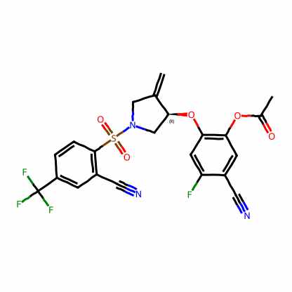 C=C1CN(S(=O)(=O)c2ccc(C(F)(F)F)cc2C#N)C[C@@H]1Oc1cc(F)c(C#N)cc1OC(C)=O